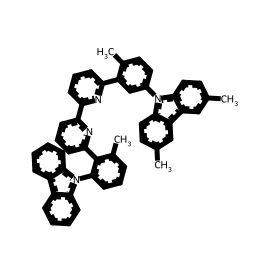 Cc1ccc2c(c1)c1cc(C)ccc1n2-c1ccc(C)c(-c2cccc(-c3cccc(-c4c(C)cccc4-n4c5ccccc5c5ccccc54)n3)n2)c1